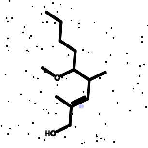 CCCCC(OC)C(C)/C=C(\C)CO